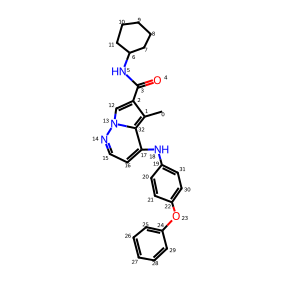 Cc1c(C(=O)NC2CCCCC2)cn2nccc(Nc3ccc(Oc4ccccc4)cc3)c12